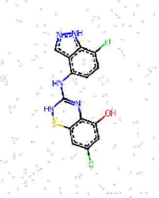 Oc1cc(Cl)cc2c1N=C(Nc1ccc(Cl)c3[nH]ncc13)NS2